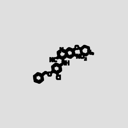 CN1CCC(Oc2cc3ncc(C#N)c(Nc4ccc(OCc5ccccc5)c(Cl)c4)c3cc2[N+](=O)[O-])CC1